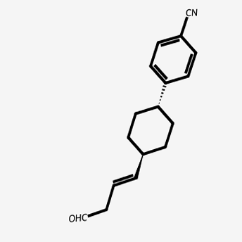 N#Cc1ccc([C@H]2CC[C@H](C=CCC=O)CC2)cc1